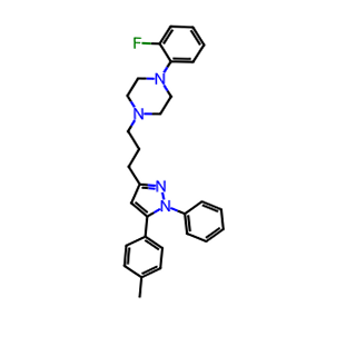 Cc1ccc(-c2cc(CCCN3CCN(c4ccccc4F)CC3)nn2-c2ccccc2)cc1